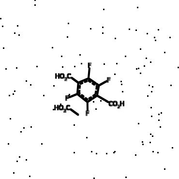 CC(=O)O.O=C(O)c1c(F)c(F)c(C(=O)O)c(F)c1F